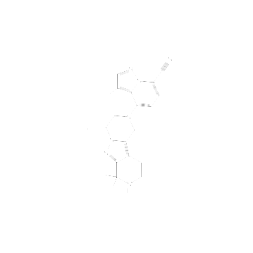 C[C@@H]1CN(c2ccc(C#N)n3ncc(F)c23)Cc2c3c(nn21)C(C)(C)NCC3